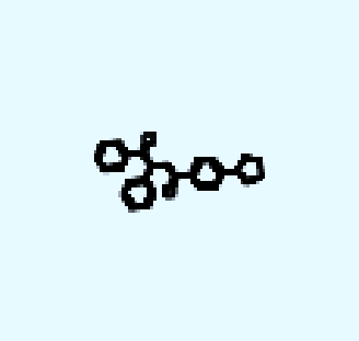 O=C(CC(C(=O)c1ccccc1)c1ccccc1)c1ccc(C2CCCC2)cc1